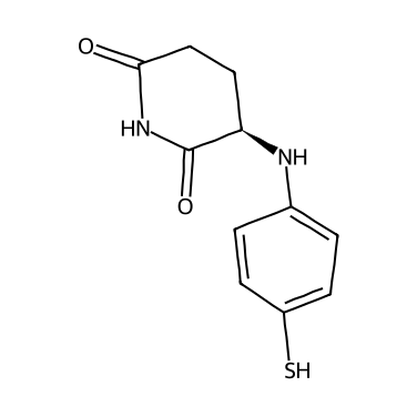 O=C1CC[C@@H](Nc2ccc(S)cc2)C(=O)N1